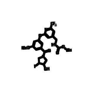 COc1cc(Oc2cc(CNC(=O)OC(C)(C)C)cc(C(F)(F)F)n2)cc(C(=O)N2CC(O)C(F)C2)c1